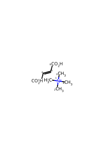 C[N+](C)(C)C.O=C(O)C=CC(=O)O